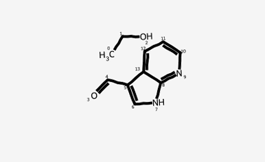 CCO.O=Cc1c[nH]c2ncccc12